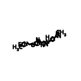 Cn1cc(-c2ccc(CNc3cc(-c4cnc5cc(OCCCN6CCC(C)(F)CC6)ccn45)ncn3)cc2)cn1